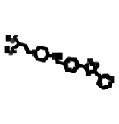 CC(C)CCN1CCC(NCc2ccc(-c3noc(-c4cccnc4)n3)cc2)CC1